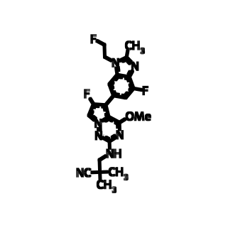 COc1nc(NCC(C)(C)C#N)nn2cc(F)c(-c3cc(F)c4nc(C)n(CCF)c4c3)c12